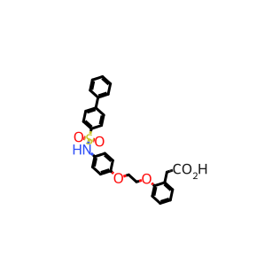 O=C(O)Cc1ccccc1OCCOc1ccc(NS(=O)(=O)c2ccc(-c3ccccc3)cc2)cc1